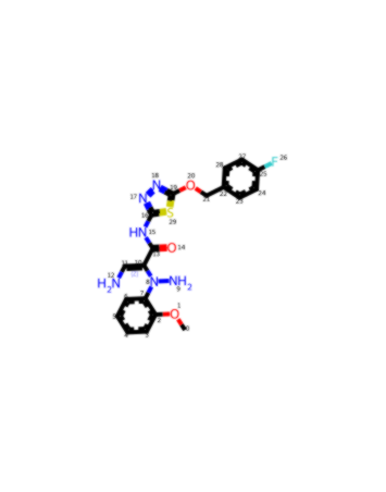 COc1ccccc1N(N)/C(=C\N)C(=O)Nc1nnc(OCc2ccc(F)cc2)s1